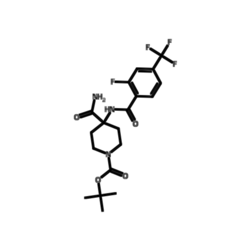 CC(C)(C)OC(=O)N1CCC(NC(=O)c2ccc(C(F)(F)F)cc2F)(C(N)=O)CC1